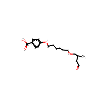 CC(CC=O)COCCCCCCOc1ccc(C(=O)O)cc1